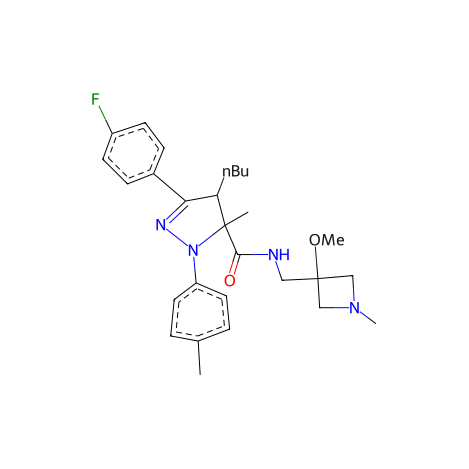 CCCCC1C(c2ccc(F)cc2)=NN(c2ccc(C)cc2)C1(C)C(=O)NCC1(OC)CN(C)C1